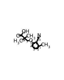 Cc1cccc(OCC(C)(C)C(=O)O)c1C#N